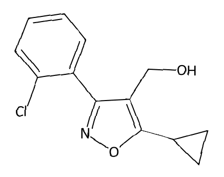 OCc1c(-c2ccccc2Cl)noc1C1CC1